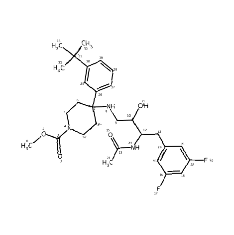 COC(=O)N1CCC(NCC(O)C(Cc2cc(F)cc(F)c2)NC(C)=O)(c2cccc(C(C)(C)C)c2)CC1